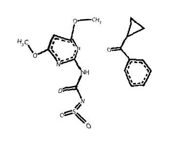 COc1cc(OC)nc(NC(=O)N=S(=O)=O)n1.O=C(c1ccccc1)C1CC1